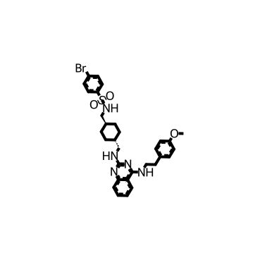 COc1ccc(CCNc2nc(NC[C@H]3CC[C@H](CNS(=O)(=O)c4ccc(Br)cc4)CC3)nc3ccccc23)cc1